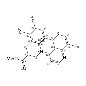 CCC1CCC(C(=O)OC)CN1c1ncnc2c(F)ccc(-c3ccc(Cl)c(Cl)c3)c12